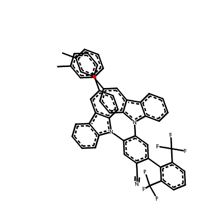 Cc1cccc(-c2ccc3c(c2)c2ccccc2n3-c2cc(C#N)c(-c3c(C(F)(F)F)cccc3C(F)(F)F)cc2-n2c3ccccc3c3cc(-c4cccc(C)c4)ccc32)c1